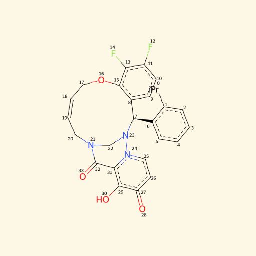 CC(C)c1ccccc1[C@@H]1c2ccc(F)c(F)c2OC/C=C\CN2CN1n1ccc(=O)c(O)c1C2=O